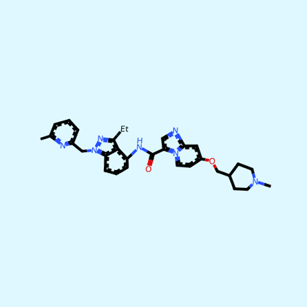 CCc1nn(Cc2cccc(C)n2)c2cccc(NC(=O)c3cnc4cc(OCC5CCN(C)CC5)ccn34)c12